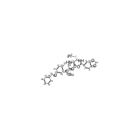 CC(C)C[C@H](NC(=O)c1ccc2c(c1)OCO2)C(=O)N[C@@H](Cc1ccc(OCc2ccccc2)cc1)C(=O)OC(C)(C)C